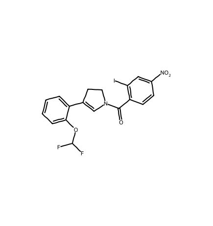 O=C(c1ccc([N+](=O)[O-])cc1I)N1C=C(c2ccccc2OC(F)F)CC1